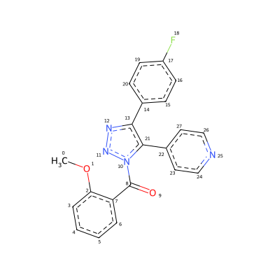 COc1ccccc1C(=O)n1nnc(-c2ccc(F)cc2)c1-c1ccncc1